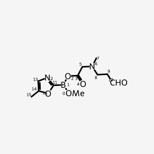 COB(OC(=O)CN(C)CCC=O)c1ncc(C)o1